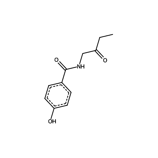 CCC(=O)CNC(=O)c1ccc(O)cc1